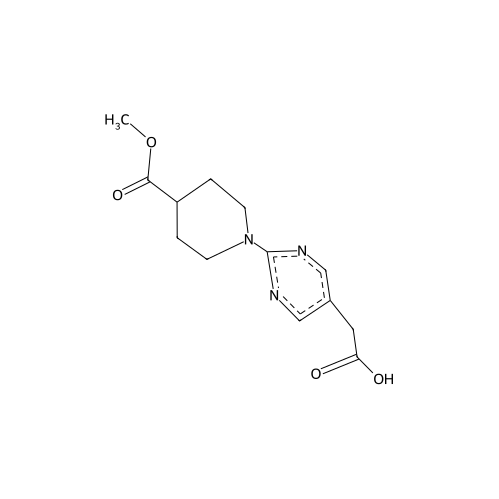 COC(=O)C1CCN(c2ncc(CC(=O)O)cn2)CC1